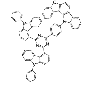 c1ccc(-n2c3ccccc3c3c(-c4nc(-c5ccc(-n6c7ccccc7c7ccc8oc9ccccc9c8c76)cc5)nc(-c5cccc6c5c5ccccc5n6-c5ccccc5)n4)cccc32)cc1